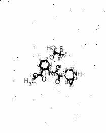 COC(=O)c1cccnc1NC(=O)C(=O)N1CCNC2CC21.O=C(O)C(F)(F)F